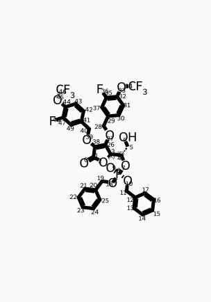 O=C1O[C@H]([C@H](CO)OP(=O)(OCc2ccccc2)OCc2ccccc2)C(OCc2ccc(OC(F)(F)F)c(F)c2)=C1OCc1ccc(OC(F)(F)F)c(F)c1